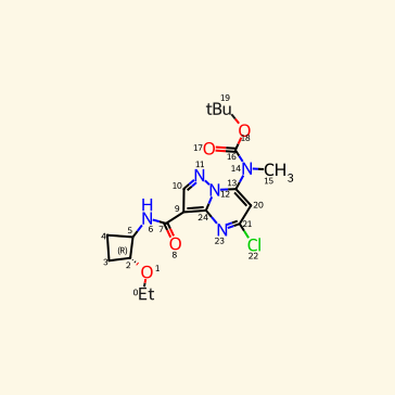 CCO[C@@H]1CCC1NC(=O)c1cnn2c(N(C)C(=O)OC(C)(C)C)cc(Cl)nc12